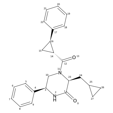 O=C1N[C@@H](c2ccccc2)CN(C(=O)[C@@H]2C[C@H]2c2ccccc2)[C@H]1CC1CC1